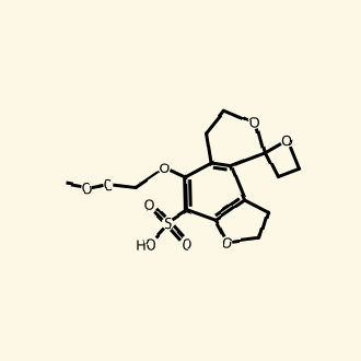 COCCOc1c2c(c3c(c1S(=O)(=O)O)OCC3)C1(CCO1)OCC2